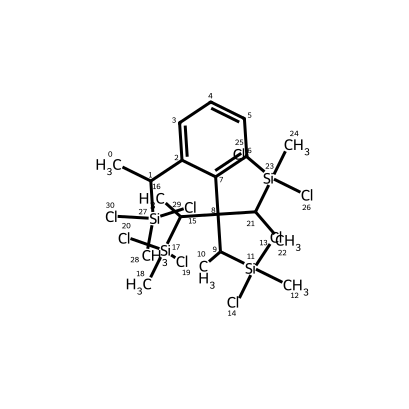 CC(c1ccccc1C(C(C)[Si](C)(Cl)Cl)(C(C)[Si](C)(Cl)Cl)C(C)[Si](C)(Cl)Cl)[Si](C)(Cl)Cl